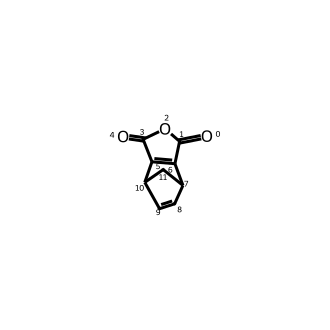 O=C1OC(=O)C2=C1C1C=CC2C1